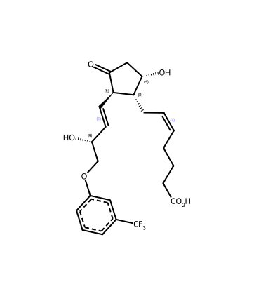 O=C(O)CCC/C=C\C[C@H]1[C@@H](O)CC(=O)[C@@H]1/C=C/[C@@H](O)COc1cccc(C(F)(F)F)c1